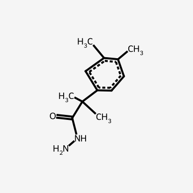 Cc1ccc(C(C)(C)C(=O)NN)cc1C